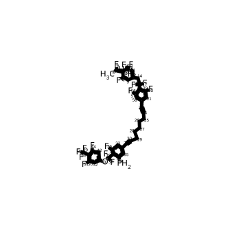 C\C=C(/C=C(F)\C(=C(/C)F)C(F)(F)F)CC(F)(F)c1c(F)cc(C#CCCCCCC#Cc2cc(F)c(C(F)(F)Oc3cc(F)c(C(F)(F)F)c(F)c3)c(P)c2)cc1F